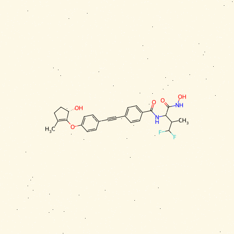 CC1=C(Oc2ccc(C#Cc3ccc(C(=O)NC(C(=O)NO)C(C)C(F)F)cc3)cc2)[C@@H](O)CC1